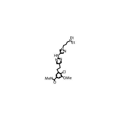 CCN(CC)CCCn1cc(Nc2ncc(CCc3cc(C(=O)NC)cc(OC)c3Cl)cn2)cn1